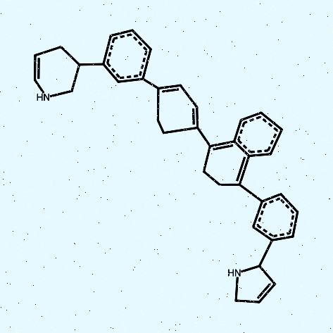 C1=CC(c2cccc(C3=c4ccccc4=C(C4=CC=C(c5cccc(C6CC=CNC6)c5)CC4)CC3)c2)NC1